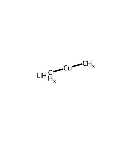 [CH3][Cu][CH3].[LiH]